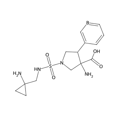 NC1(CNS(=O)(=O)N2CC(c3cbccc3)C(N)(C(=O)O)C2)CC1